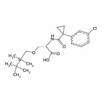 CC(C)(C)[Si](C)(C)COC[C@H](NC(=O)C1(c2cccc(Cl)c2)CC1)C(=O)O